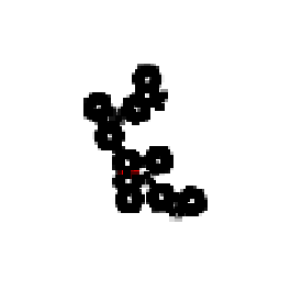 CC1(C)c2ccccc2-c2cc(-n3c4ccccc4c4ccc(-c5cccc(-c6ccccc6N(c6ccc7sc8ccccc8c7c6)c6cccc7ccccc67)c5)cc43)ccc21